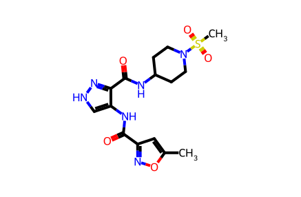 Cc1cc(C(=O)Nc2c[nH]nc2C(=O)NC2CCN(S(C)(=O)=O)CC2)no1